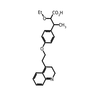 CCOC(C(=O)O)C(C)c1ccc(OCCC2=c3ccccc3=NCC2)cc1